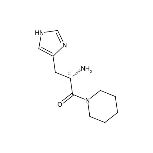 N[C@@H](Cc1c[nH]cn1)C(=O)N1CCCCC1